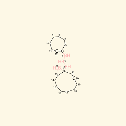 BC1(BBBC2CCCCCCC2)CCCCCCCCC1